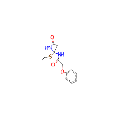 CCS[C@@]1(NC(=O)COc2ccccc2)CC(=O)N1